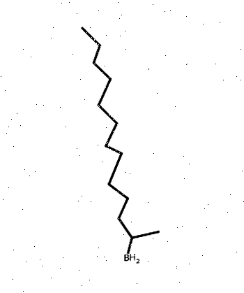 BC(C)CCCCCCCCCCC